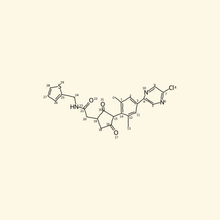 Cc1cc(-c2cnc(Cl)cn2)cc(C)c1C1C(=O)CC(CC(=O)NCc2cccs2)C1=O